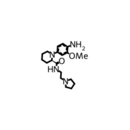 COc1cc(N2CCCC[C@@H]2C(=O)NCCN2CCCC2)ccc1N